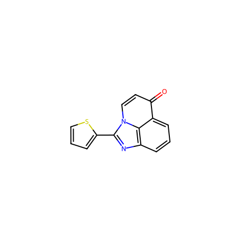 O=c1ccn2c(-c3cccs3)nc3cccc1c32